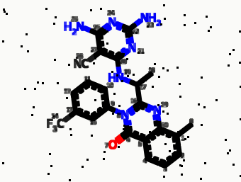 Cc1cccc2c(=O)n(-c3cccc(C(F)(F)F)c3)c(C(C)Nc3nc(N)nc(N)c3C#N)nc12